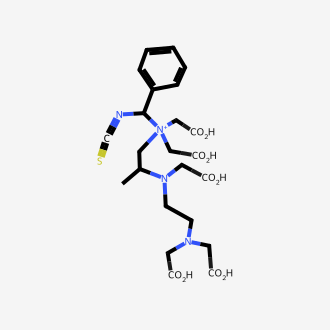 CC(C[N+](CC(=O)O)(CC(=O)O)C(N=C=S)c1ccccc1)N(CCN(CC(=O)O)CC(=O)O)CC(=O)O